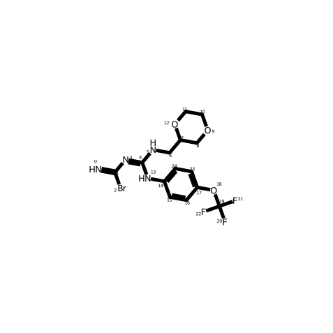 N=C(Br)/N=C(/NCC1COCCO1)Nc1ccc(OC(F)(F)F)cc1